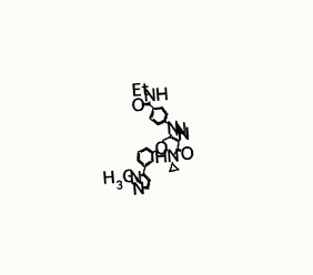 CCNC(=O)c1ccc(-n2nnc(C(=O)NC3CC3)c2COc2cccc(-c3ccnn3C)c2)cc1